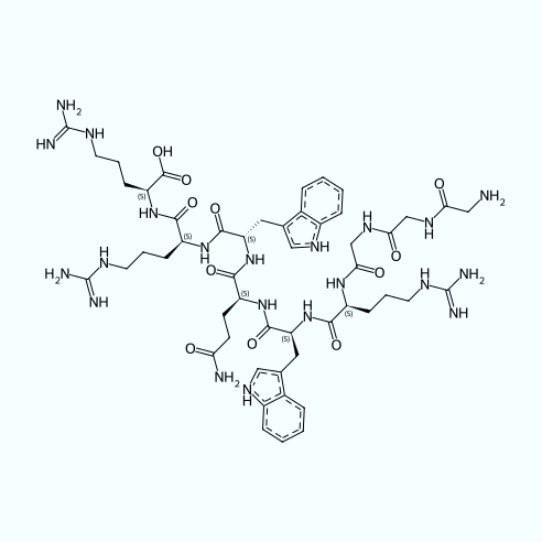 N=C(N)NCCC[C@H](NC(=O)[C@H](CCCNC(=N)N)NC(=O)[C@H](Cc1c[nH]c2ccccc12)NC(=O)[C@H](CCC(N)=O)NC(=O)[C@H](Cc1c[nH]c2ccccc12)NC(=O)[C@H](CCCNC(=N)N)NC(=O)CNC(=O)CNC(=O)CN)C(=O)O